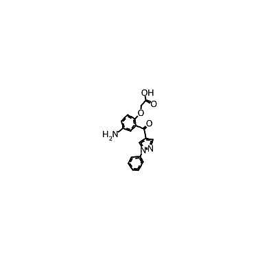 Nc1ccc(OCC(=O)O)c(C(=O)c2cnn(-c3ccccc3)c2)c1